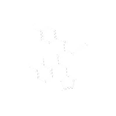 N#C/N=C(\Nc1ccc(Cl)cc1)NC(Cn1ccnc1)c1cccc(Cl)c1Cl